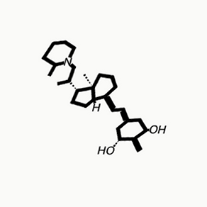 C=C1[C@H](O)CC(=CC=C2CCC[C@]3(C)[C@@H](C(C)CN4CCCCC4C)CC[C@@H]23)C[C@H]1O